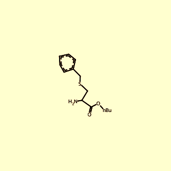 CCCCOC(=O)C(N)CSCc1ccccc1